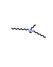 CCCCCCCCCCCN1C=CN(CCCCCCCCC)C1CCCC